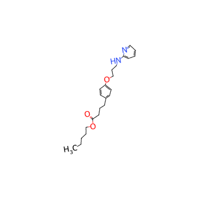 CCCCCOC(=O)CCCc1ccc(OCCCNc2ccccn2)cc1